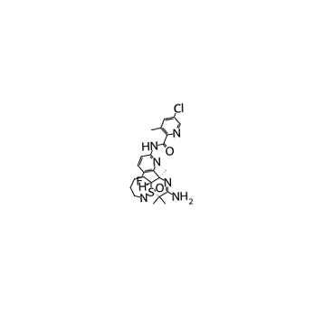 Cc1cc(Cl)cnc1C(=O)Nc1ccc(F)c([C@@]2(C)N=C(N)C(C)(C)[S@]3(=O)=NCCCC[C@H]23)n1